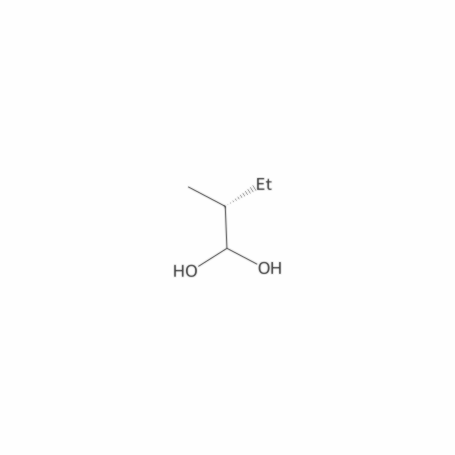 CC[C@@H](C)C(O)O